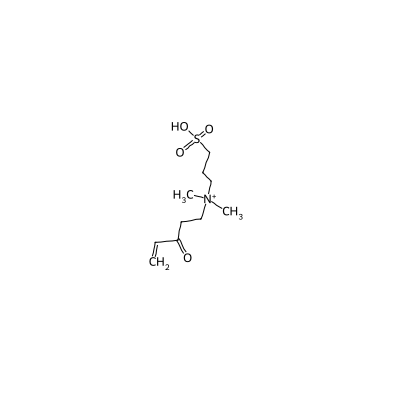 C=CC(=O)CC[N+](C)(C)CCCS(=O)(=O)O